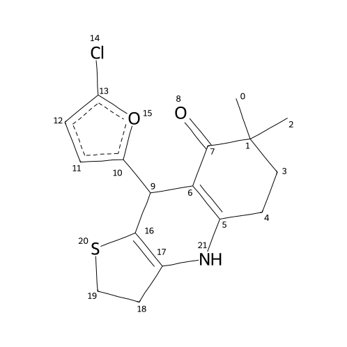 CC1(C)CCC2=C(C1=O)C(c1ccc(Cl)o1)C1=C(CCS1)N2